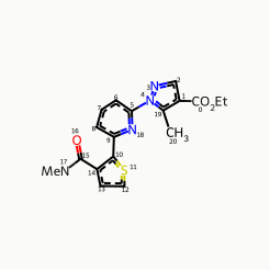 CCOC(=O)c1cnn(-c2cccc(-c3sccc3C(=O)NC)n2)c1C